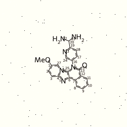 COc1ccc2nc3c4ccccc4c(=O)n(-c4ccc(C(N)N)nc4)c3n2c1